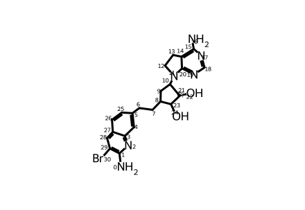 Nc1nc2cc(CCC3CC(N4CCc5c(N)ncnc54)[C@@H](O)C3O)ccc2cc1Br